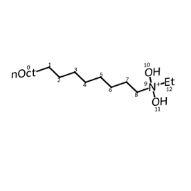 CCCCCCCCCCCCCCCC[N+](O)(O)CC